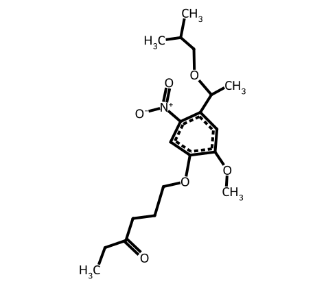 CCC(=O)CCCOc1cc([N+](=O)[O-])c(C(C)OCC(C)C)cc1OC